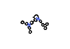 C=C1/C=C\C=C/CN(c2ccc(-c3ccc4c5ccccc5c5ccccc5c4c3)cc2)c2ccc(-c3ccc(N(c4ccc(-c5ccccc5)cc4)c4ccc(-c5ccccc5)cc4)cc3)cc21